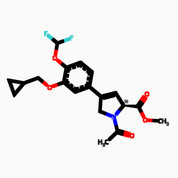 COC(=O)[C@@H]1C=C(c2ccc(OC(F)F)c(OCC3CC3)c2)CN1C(C)=O